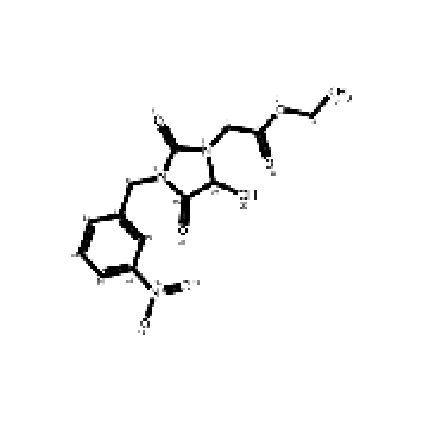 CCOC(=O)CN1C(=O)N(Cc2cccc([N+](=O)[O-])c2)C(=O)C1O